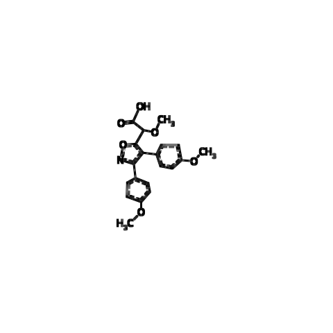 COc1ccc(-c2noc(C(OC)C(=O)O)c2-c2ccc(OC)cc2)cc1